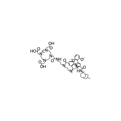 COc1cccc(OC)c1-c1cc(C(=O)NC2(C)CCC3CC(C)CC2C3)nn1-c1ccc(C(=O)N(CCCNC(=O)CN2CCN(CC(=O)O)CCN(CC(=O)O)CCN(CC(=O)O)CC2)CCCN(C)C)cc1C(C)C